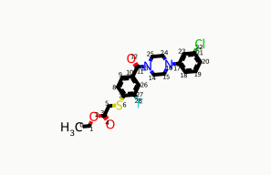 CCOC(=O)CSc1ccc(C(=O)N2CCN(c3cccc(Cl)c3)CC2)cc1F